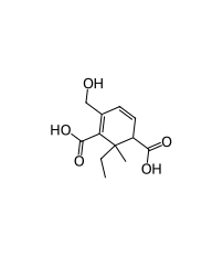 CCC1(C)C(C(=O)O)=C(CO)C=CC1C(=O)O